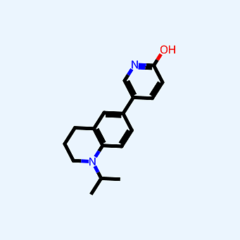 CC(C)N1CCCc2cc(-c3ccc(O)nc3)ccc21